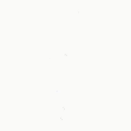 O=C(CC/C=C1\CCCc2cnn(-c3cccc(-c4ccccc4)c3)c21)NSc1cc(Cl)c(Cl)s1